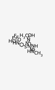 Cc1cc(Nc2cc(N3CC(C)(O)C3)nc(Sc3ccc(NC(=O)C(O)C(F)(F)F)cc3)n2)n[nH]1